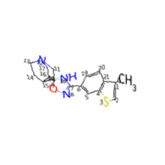 Cc1csc2cc(C3=NO[C@@]4(CN5CCC4CC5)N3)ccc12